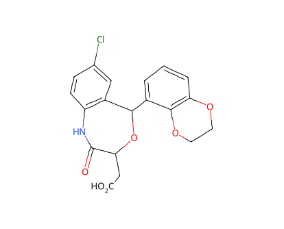 O=C(O)CC1OC(c2cccc3c2OCCO3)c2cc(Cl)ccc2NC1=O